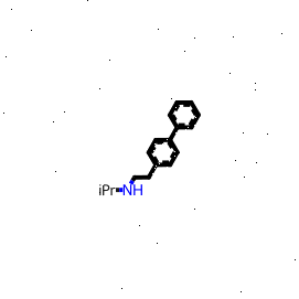 CC(C)NCCc1ccc(-c2ccccc2)cc1